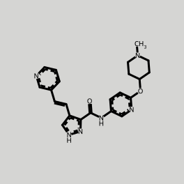 CN1CCC(Oc2ccc(NC(=O)c3n[nH]cc3/C=C/c3cccnc3)cn2)CC1